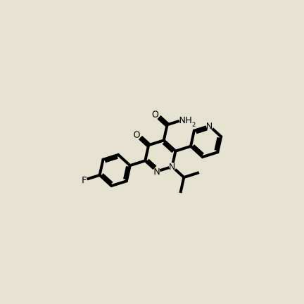 CC(C)n1nc(-c2ccc(F)cc2)c(=O)c(C(N)=O)c1-c1cccnc1